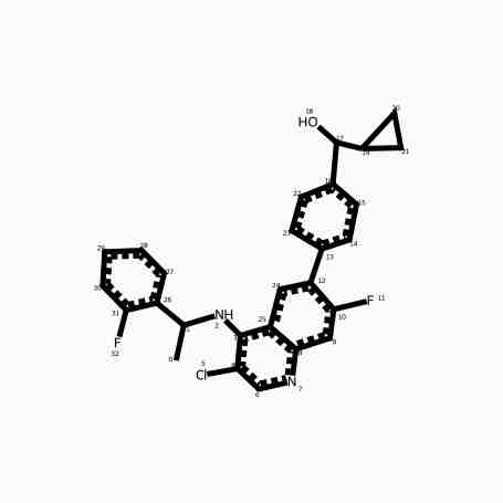 CC(Nc1c(Cl)cnc2cc(F)c(-c3ccc(C(O)C4CC4)cc3)cc12)c1ccccc1F